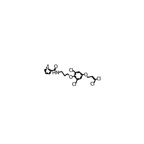 Cn1cccc1C(=O)NCCCOc1c(Cl)cc(OCC=C(Cl)Cl)cc1Cl